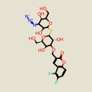 [N-]=[N+]=NC1C(O)[C@H](S[C@@H]2O[C@H](CO)C(O)C(OCc3cc4c(F)c(F)ccc4oc3=O)[C@H]2O)OC(CO)[C@@H]1O